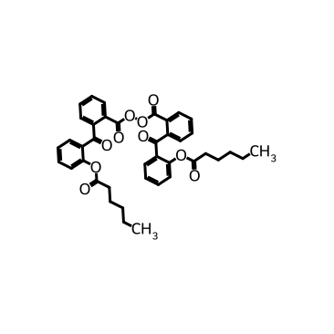 CCCCCC(=O)Oc1ccccc1C(=O)c1ccccc1C(=O)OOC(=O)c1ccccc1C(=O)c1ccccc1OC(=O)CCCCC